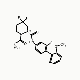 CC(C)(C)OC(=O)N1CCC(F)(F)C[C@@H]1C(=O)Nc1ccc(-c2ccccc2OC(F)(F)F)c(Cl)c1